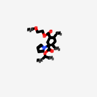 COCCOC(=O)C1=C(C)CC(C)C(C(=O)OC(C)C)(n2cccc2)[CH]1